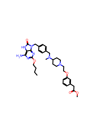 CCCCOc1nc(N)c2[nH]c(=O)n(Cc3ccc(CN(C)C4CCN(CCOc5cccc(CC(=O)OC)c5)CC4)cc3)c2n1